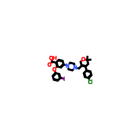 CC1(C)CC(c2ccc(Cl)cc2)=C(CN2CCN(c3ccc(C(=O)O)c(Oc4cccc(I)c4)c3)CC2)CO1